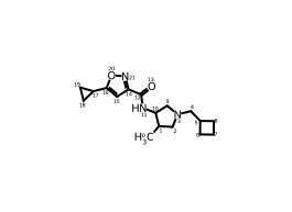 CC1CN(CC2CCC2)CC1NC(=O)c1cc(C2CC2)on1